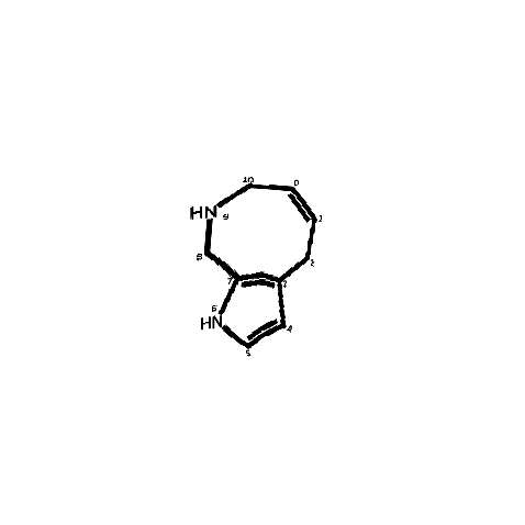 C1=CCc2cc[nH]c2CNC1